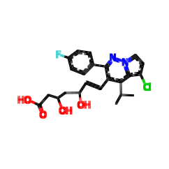 CC(C)c1c(/C=C/C(O)CC(O)CC(=O)O)c(-c2ccc(F)cc2)nn2ccc(Cl)c12